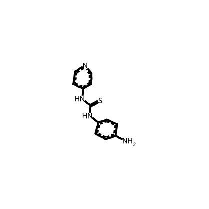 Nc1ccc(NC(=S)Nc2ccncc2)cc1